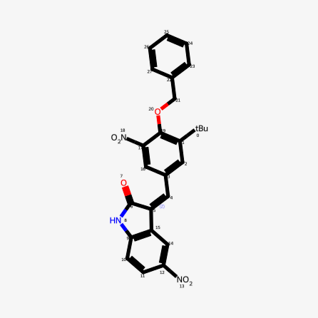 CC(C)(C)c1cc(/C=C2\C(=O)Nc3ccc([N+](=O)[O-])cc32)cc([N+](=O)[O-])c1OCc1ccccc1